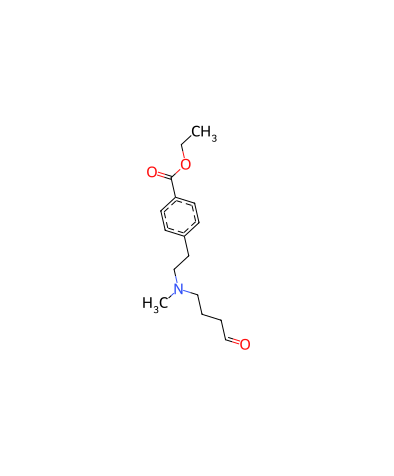 CCOC(=O)c1ccc(CCN(C)CCCC=O)cc1